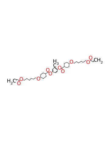 C=CC(=O)OCCCCCCOC1CCC(C(=O)Oc2ccc(OC(=O)C3CCC(OCCCCCCOC(=O)C=C)CC3)c(C)c2)CC1